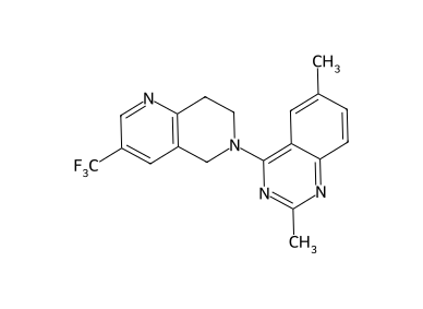 Cc1ccc2nc(C)nc(N3CCc4ncc(C(F)(F)F)cc4C3)c2c1